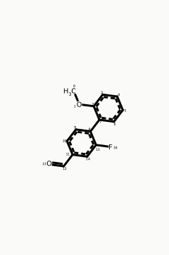 COc1ccccc1-c1ccc(C=O)cc1F